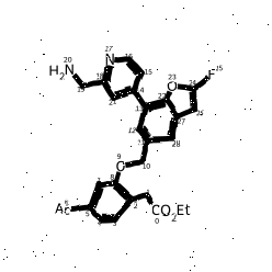 CCOC(=O)Cc1ccc(C(C)=O)cc1OCc1cc(-c2ccnc(CN)c2)c2oc(F)cc2c1